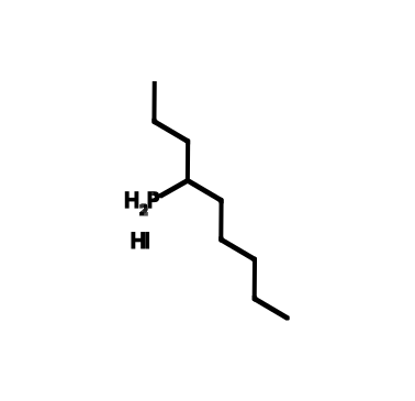 CCCCCC(P)CCC.I